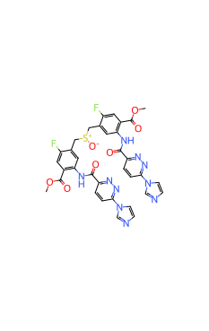 COC(=O)c1cc(F)c(C[S+]([O-])Cc2cc(NC(=O)c3ccc(-n4ccnc4)nn3)c(C(=O)OC)cc2F)cc1NC(=O)c1ccc(-n2ccnc2)nn1